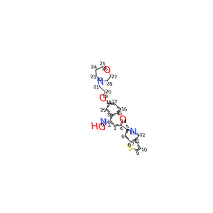 O/N=c1\cc(-c2cc3sccc3cn2)oc2ccc(OCCN3CCCOCC3)cc12